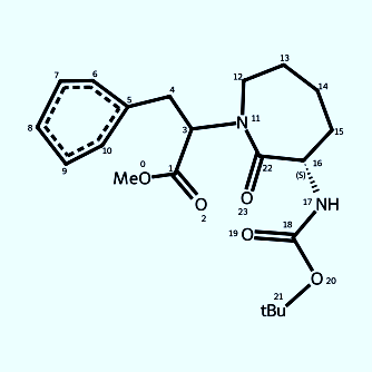 COC(=O)C(Cc1ccccc1)N1CCCC[C@H](NC(=O)OC(C)(C)C)C1=O